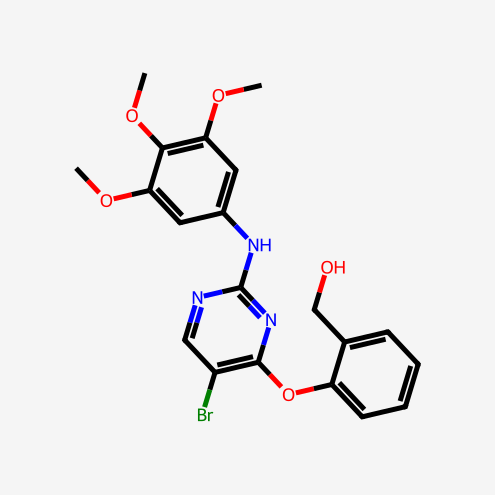 COc1cc(Nc2ncc(Br)c(Oc3ccccc3CO)n2)cc(OC)c1OC